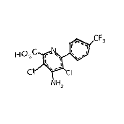 Nc1c(Cl)c(C(=O)O)nc(-c2ccc(C(F)(F)F)cc2)c1Cl